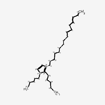 CCCCCCCCCCCCCCCC[n+]1ccn(CCCCC)c1CCCCC